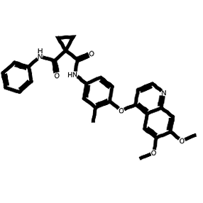 COc1cc2nccc(Oc3ccc(NC(=O)C4(C(=O)Nc5ccccc5)CC4)cc3C)c2cc1OC